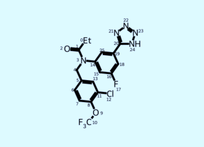 CCC(=O)N(Cc1ccc(OC(F)(F)F)c(Cl)c1)c1cc(F)cc(-c2nnn[nH]2)c1